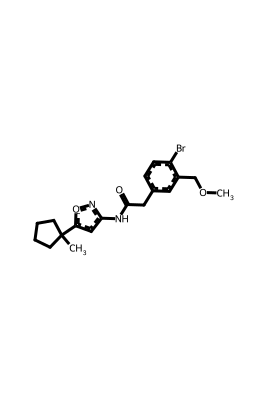 COCc1cc(CC(=O)Nc2cc(C3(C)CCCC3)on2)ccc1Br